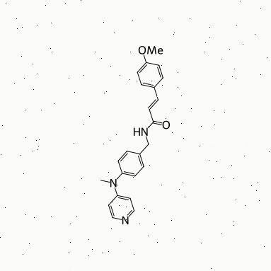 COc1ccc(/C=C/C(=O)NCc2ccc(N(C)c3ccncc3)cc2)cc1